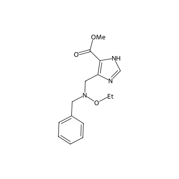 CCON(Cc1ccccc1)Cc1nc[nH]c1C(=O)OC